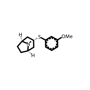 COc1cccc(S[C@@H]2C[C@H]3CC[C@@H](C2)N3C)c1